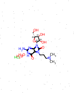 CN(C)CCCn1c(=O)n([C@@H]2O[C@H](CO)[C@@H](O)[C@H]2O)c2nc(N)[nH]c(=O)c21.Cl.O.O